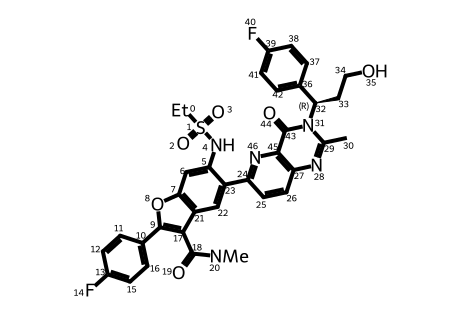 CCS(=O)(=O)Nc1cc2oc(-c3ccc(F)cc3)c(C(=O)NC)c2cc1-c1ccc2nc(C)n([C@H](CCO)c3ccc(F)cc3)c(=O)c2n1